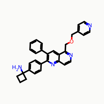 NC1(c2ccc(-c3nc4ccnc(COCc5ccncc5)c4cc3-c3ccccc3)cc2)CCC1